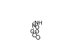 COc1c(OCCN2CCNC2=O)ccc2ccccc12